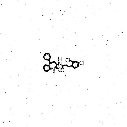 CN1C(=O)C(NC(=O)CCc2ccc(Cl)cc2Cl)C=C(c2ccccc2)c2ccccc21